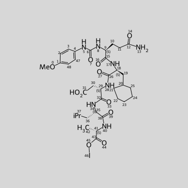 COc1ccc(NC(=O)N[C@@H](CCC(N)=O)C(=O)N[C@@H](CC2CCCCC2)C(=O)N[C@@H](CC(=O)O)C(=O)N[C@@H](CC(C)C)C(=O)N[C@@H](C)C(=O)OI)cc1